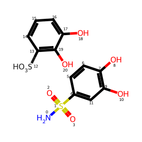 NS(=O)(=O)c1ccc(O)c(O)c1.O=S(=O)(O)c1cccc(O)c1O